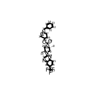 C[C@@H]1CN(c2cnc3cc(C(F)(F)F)ccc3n2)[C@@H](C)CN1C(=O)OC1CCN(Cc2ccccc2)CC1